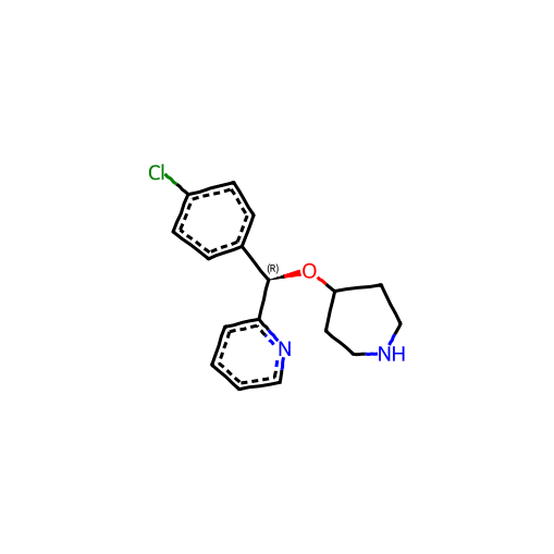 Clc1ccc([C@@H](OC2CCNCC2)c2ccccn2)cc1